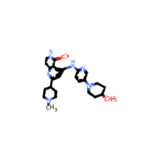 CN1CCC(c2cc(Nc3ccc(N4CCC(O)CC4)cn3)c3c(=O)[nH]ccc3n2)CC1